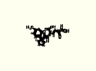 Cc1ccc(C2(C(=O)N[C@@H](CCC(=O)NO)C(=O)O)CCCC2)cc1